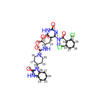 O=C(Nc1nc(=O)[nH]cc1CC(NC(=O)N1CCC(n2c(=O)[nH]c3ccccc32)CC1)C(=O)O)c1c(Cl)cccc1Cl